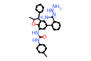 Cc1ccc(NC(=O)Nc2cc(-c3ccccc3/C(N)=N/NN)cc3c2OC(C)C3c2ccccc2)cc1